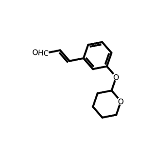 O=CC=Cc1cccc(OC2CCCCO2)c1